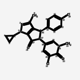 Cc1nn(C2CC2)c2c1[C@@H](c1ccc(Cl)cc1)N(c1cc(Cl)c(=O)n(C)c1)C2=O